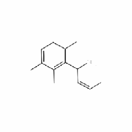 C/C=C\C(N)C1=C(C)C(C)=CCC1C